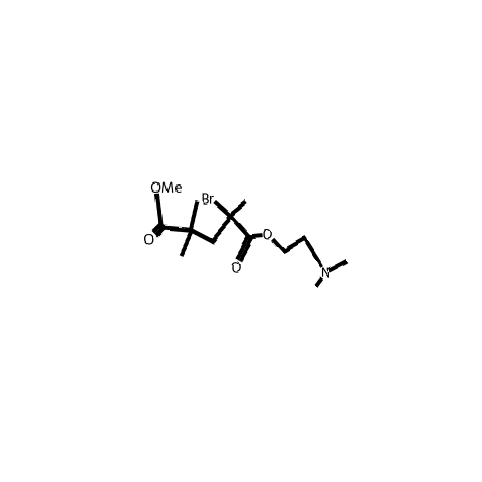 COC(=O)C(C)(C)CC(C)(Br)C(=O)OCCN(C)C